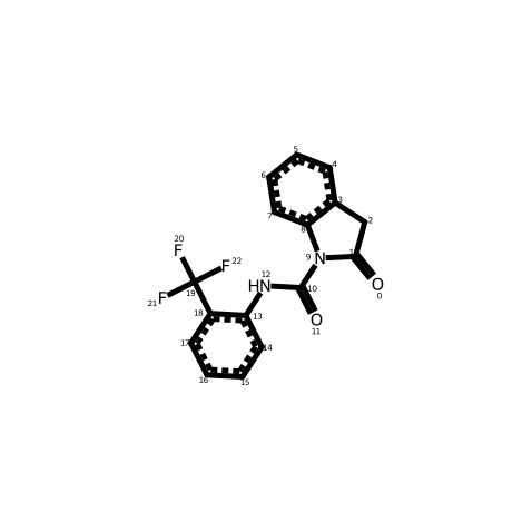 O=C1Cc2ccccc2N1C(=O)Nc1ccccc1C(F)(F)F